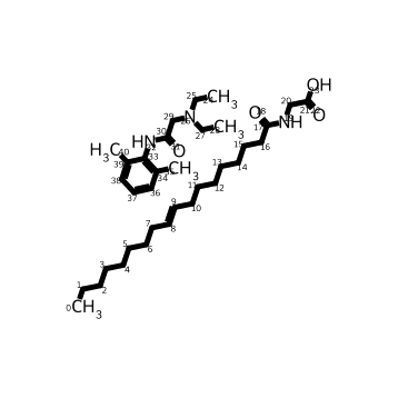 CCCCCCCCC=CCCCCCCCC(=O)NCC(=O)O.CCN(CC)CC(=O)Nc1c(C)cccc1C